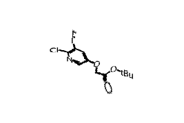 CC(C)(C)OC(=O)COc1cnc(Cl)c(F)c1